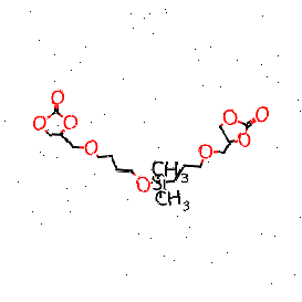 C[Si](C)(CCCOCC1COC(=O)O1)OCCCCOCC1COC(=O)O1